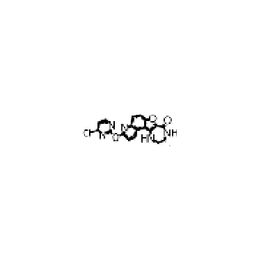 C[C@@H]1CNc2c(oc3ccc4nc(Oc5nccc(Cl)n5)ccc4c23)C(=O)N1